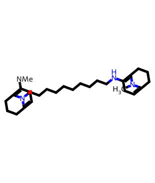 CNC1=C2CCCC(=CC1)N2CCCCCCCCCCNC1=C2CCCC(=CC1)N2C